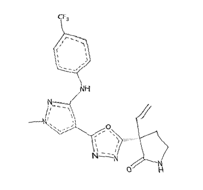 C=C[C@@]1(c2nnc(-c3cn(C)nc3Nc3ccc(C(F)(F)F)cc3)o2)CCNC1=O